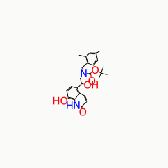 Cc1ccc(CN(CC(O)c2ccc(O)c3[nH]c(=O)ccc23)C(=O)OC(C)(C)C)c(C)c1